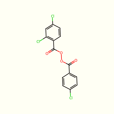 O=C(OOC(=O)c1ccc(Cl)cc1Cl)c1ccc(Cl)cc1